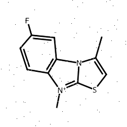 Cc1csc2n1c1cc(F)ccc1[n+]2C